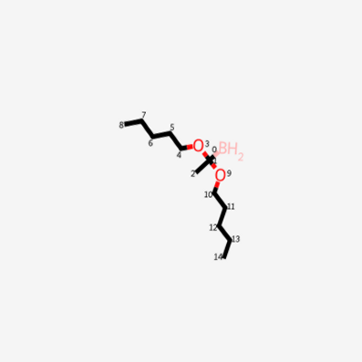 BC(C)(OCCCCC)OCCCCC